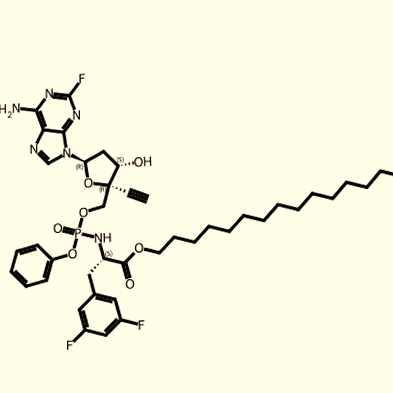 C#C[C@]1(COP(=O)(N[C@@H](Cc2cc(F)cc(F)c2)C(=O)OCCCCCCCCCCCCCCC)Oc2ccccc2)O[C@@H](n2cnc3c(N)nc(F)nc32)C[C@@H]1O